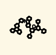 c1ccc(-c2cc(-c3ccccc3)c3oc4c(-c5ccc6c(c5)c5ccccc5n6-c5cccc(-c6ccc7c8ccccc8c8ccccc8c7c6)c5)cc(-c5ccccc5)cc4c3c2)cc1